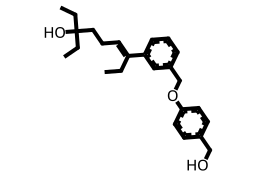 CC/C(=C\CCC(O)(CC)CC)c1cccc(COc2ccc(CO)cc2)c1